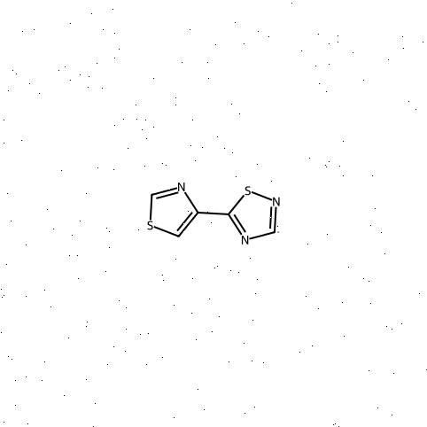 [c]1nsc(-c2cscn2)n1